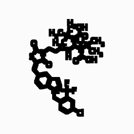 CC(C)(C)N(C(=O)O)C(NOCCN1C(=O)SC(=Cc2ccc3c(ccn3Cc3ccc(Cl)cc3C(F)(F)F)c2)C1=O)N(C(=O)O)C(C)(C)C